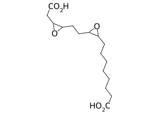 O=C(O)CCCCCCCC1OC1CCC1OC1CC(=O)O